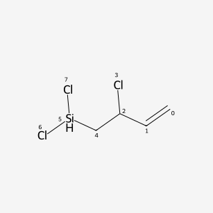 C=CC(Cl)C[SiH](Cl)Cl